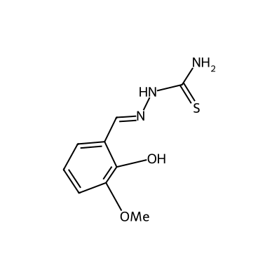 COc1cccc(C=NNC(N)=S)c1O